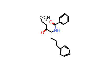 O=C(O)CCC(=O)[C@@H](CCCc1ccccc1)NC(=O)c1ccccc1